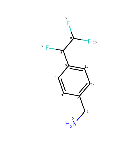 NCc1ccc(C(F)C(F)F)cc1